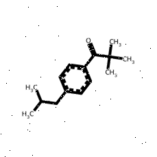 CC(C)Cc1ccc(C(=O)C(C)(C)C)cc1